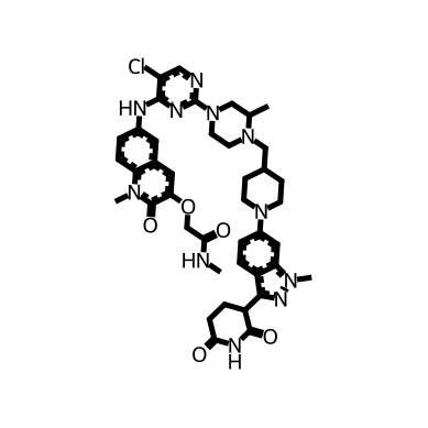 CNC(=O)COc1cc2cc(Nc3nc(N4CCN(CC5CCN(c6ccc7c(C8CCC(=O)NC8=O)nn(C)c7c6)CC5)C(C)C4)ncc3Cl)ccc2n(C)c1=O